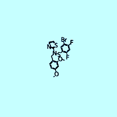 COc1ccc(CN(Sc2cc(Br)c(F)cc2F)c2nccs2)c(OC)c1